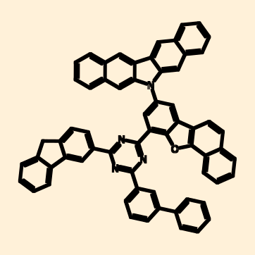 c1ccc(-c2cccc(-c3nc(-c4ccc5c(c4)-c4ccccc4C5)nc(-c4cc(-n5c6cc7ccccc7cc6c6cc7ccccc7cc65)cc5c4oc4c6ccccc6ccc54)n3)c2)cc1